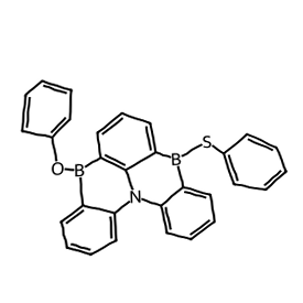 c1ccc(OB2c3ccccc3N3c4ccccc4B(Sc4ccccc4)c4cccc2c43)cc1